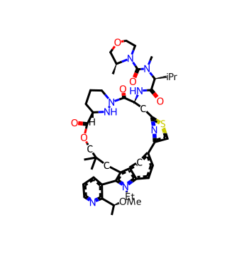 CCn1c(-c2cccnc2[C@H](C)OC)c2c3cc(ccc31)-c1csc(n1)C[C@H](NC(=O)[C@H](C(C)C)N(C)C(=O)N1CCOC[C@@H]1C)C(=O)N1CCC[C@H](N1)C(=O)OCC(C)(C)C2